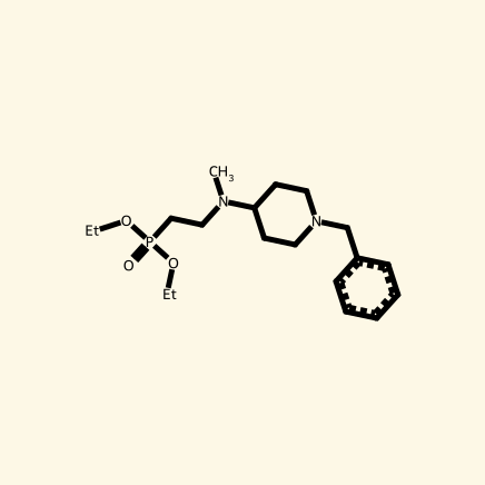 CCOP(=O)(CCN(C)C1CCN(Cc2ccccc2)CC1)OCC